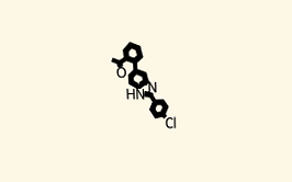 CC(=O)c1ccccc1-c1ccc2[nH]c(-c3ccc(Cl)cc3)nc2c1